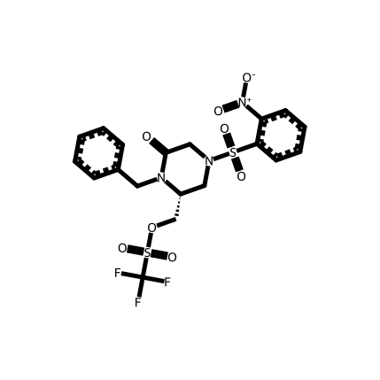 O=C1CN(S(=O)(=O)c2ccccc2[N+](=O)[O-])C[C@H](COS(=O)(=O)C(F)(F)F)N1Cc1ccccc1